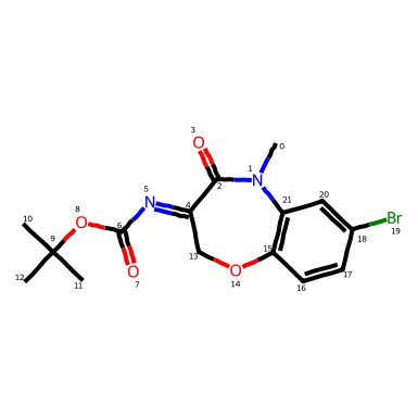 CN1C(=O)/C(=N/C(=O)OC(C)(C)C)COc2ccc(Br)cc21